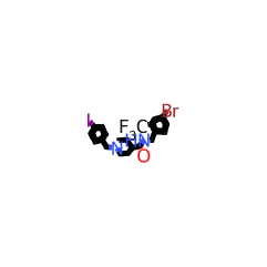 O=C(NCc1ccc(Br)cc1C(F)(F)F)C1CCN(Cc2ccc(I)cc2)CC1